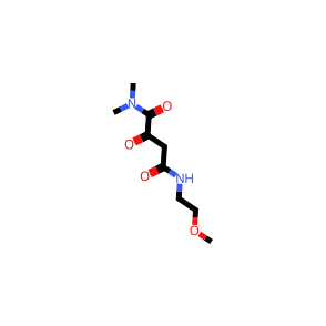 COCCNC(=O)CC(=O)C(=O)N(C)C